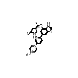 CC(=O)N1CCN(c2ccc(-c3cc(O[C@H](C)[C@H]4CNC(=O)C4)c4[nH]cnc4c3)nc2)CC1